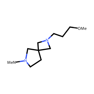 CNN1CCC2(CN(CCCOC)C2)C1